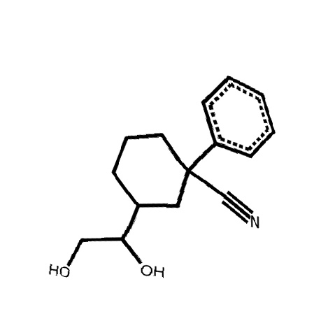 N#CC1(c2ccccc2)CCCC(C(O)CO)C1